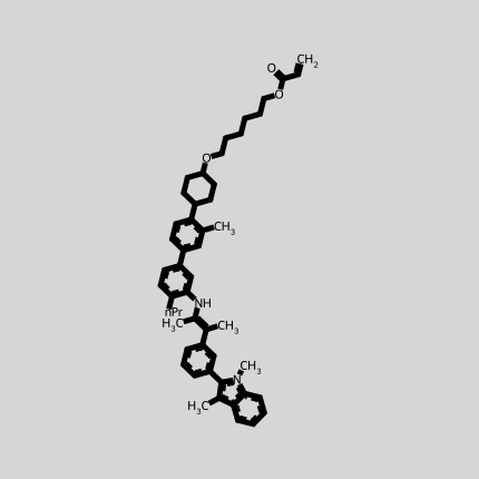 C=CC(=O)OCCCCCCOC1CCC(c2ccc(-c3ccc(CCC)c(N/C(C)=C(\C)c4cccc(-c5c(C)c6ccccc6n5C)c4)c3)cc2C)CC1